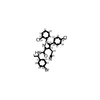 CC(NC(=O)c1nn(-c2ccccc2Cl)c(-c2ccc(Cl)cc2)c1CC#N)c1ccc(Br)cc1